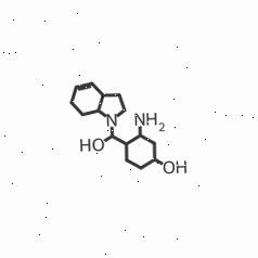 NC1CC(O)CCC1C(O)N1CCC2C=CCCC21